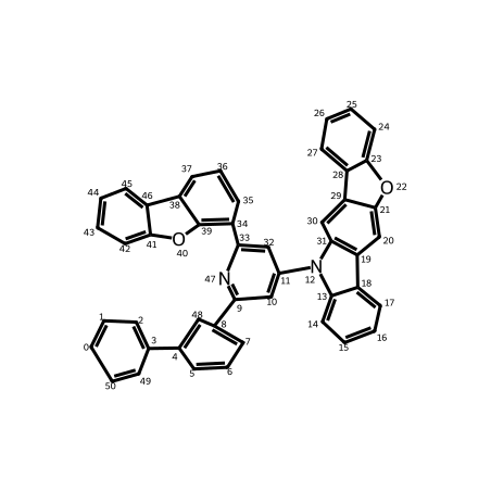 c1ccc(-c2cccc(-c3cc(-n4c5ccccc5c5cc6oc7ccccc7c6cc54)cc(-c4cccc5c4oc4ccccc45)n3)c2)cc1